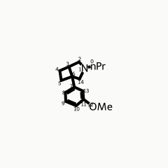 CCCN1CC2CCC2(c2cccc(OC)c2)C1